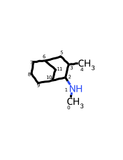 CNC1C(C)CC2CCCC1C2